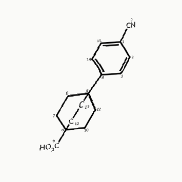 N#Cc1ccc(C23CCC(C(=O)O)(CC2)CC3)cc1